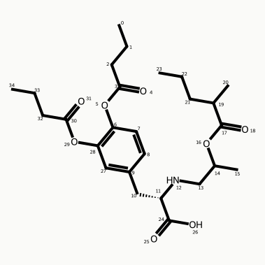 CCCC(=O)Oc1ccc(C[C@H](NCC(C)OC(=O)C(C)CCC)C(=O)O)cc1OC(=O)CCC